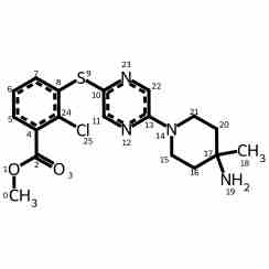 COC(=O)c1cccc(Sc2cnc(N3CCC(C)(N)CC3)cn2)c1Cl